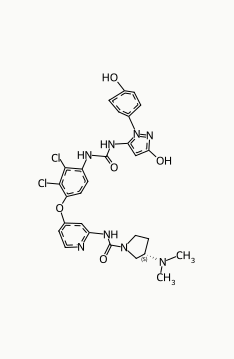 CN(C)[C@H]1CCN(C(=O)Nc2cc(Oc3ccc(NC(=O)Nc4cc(O)nn4-c4ccc(O)cc4)c(Cl)c3Cl)ccn2)C1